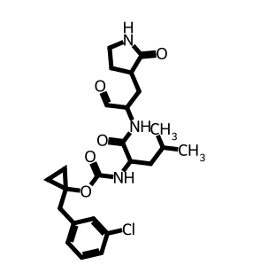 CC(C)CC(NC(=O)OC1(Cc2cccc(Cl)c2)CC1)C(=O)NC(C=O)CC1CCNC1=O